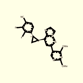 COc1ncc(-c2cc([C@H]3C[C@@H]3c3ccc(C#N)c(F)c3F)c3nccn3n2)c(OC)n1